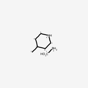 BC(=O)O.CC1CCNCC1